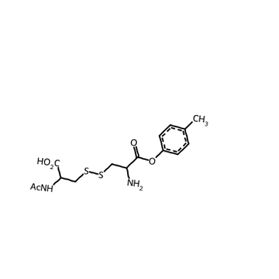 CC(=O)NC(CSSCC(N)C(=O)Oc1ccc(C)cc1)C(=O)O